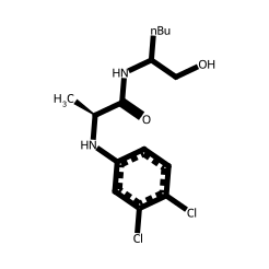 CCCCC(CO)NC(=O)[C@H](C)Nc1ccc(Cl)c(Cl)c1